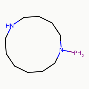 PN1CCCCCCNCCCC1